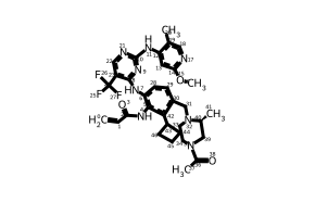 C=CC(=O)Nc1c(Nc2nc(Nc3cc(OC)ncc3C)ncc2C(F)(F)F)ccc(CN2CCN(C(C)=O)C[C@@H]2C)c1C1CCC1